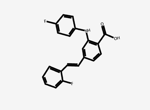 O=C(O)c1ccc(/C=C/c2ccccc2F)cc1Nc1ccc(F)cc1